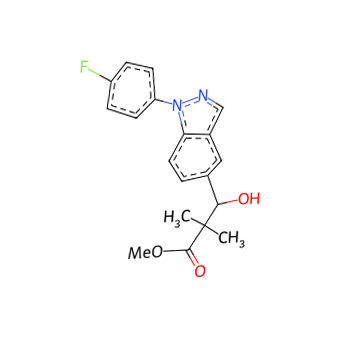 COC(=O)C(C)(C)C(O)c1ccc2c(cnn2-c2ccc(F)cc2)c1